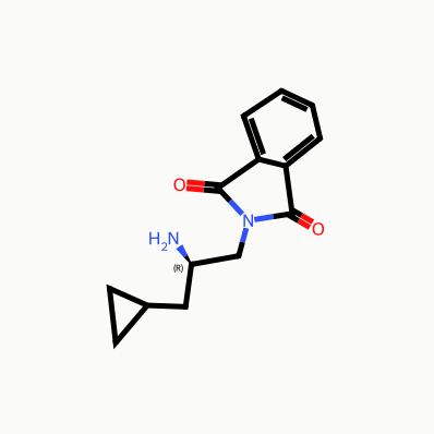 N[C@H](CC1CC1)CN1C(=O)c2ccccc2C1=O